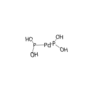 O[P](O)[Pd][P](O)O